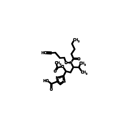 C#CCCCON(C(=O)CCCC)C(CC(OC(C)=O)c1nc(C(=O)O)cs1)C(C)C